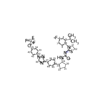 CC(C)c1cc(F)ccc1N1CCS/C1=N\C(=O)NC1CCCC1c1ccc(-c2ncn(-c3ccc(OC(F)(F)F)cc3)n2)cc1